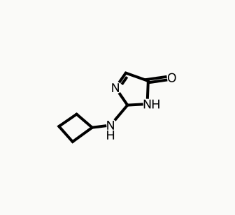 O=C1C=NC(NC2CCC2)N1